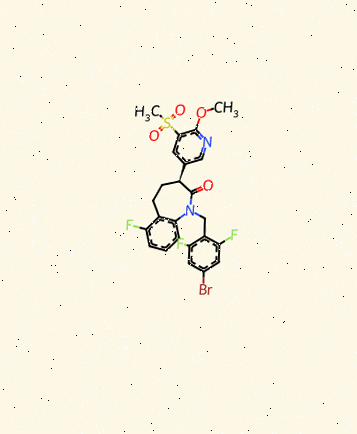 COc1ncc([C@@H]2CCc3c(F)cccc3N(Cc3c(F)cc(Br)cc3F)C2=O)cc1S(C)(=O)=O